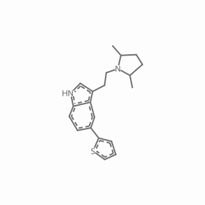 CC1CCC(C)N1CCc1c[nH]c2ccc(-c3cccs3)cc12